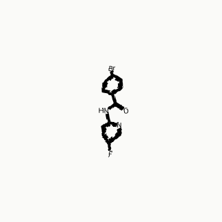 O=C(Nc1ccc(F)cn1)c1ccc(Br)cc1